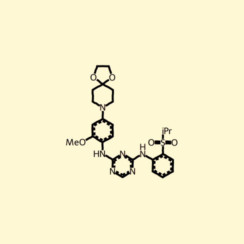 COc1cc(N2CCC3(CC2)OCCO3)ccc1Nc1ncnc(Nc2ccccc2S(=O)(=O)C(C)C)n1